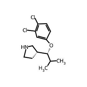 CC(C)[C@@H](Oc1ccc(Cl)c(Cl)c1)[C@@H]1CCNC1